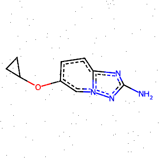 Nc1nc2ccc(OC3CC3)cn2n1